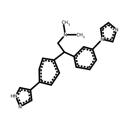 CN(C)CC(c1ccc(-c2cn[nH]c2)cc1)c1cccc(-n2ccnc2)c1